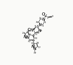 C#CC(=O)N1CCN(c2ccc(-c3cc(-c4ccn(C)n4)cn4ncc(C#N)c34)cn2)CC1